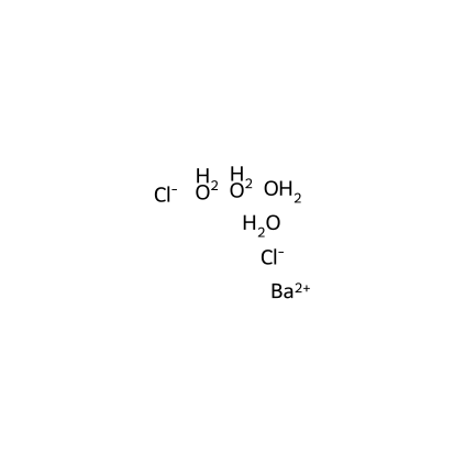 O.O.O.O.[Ba+2].[Cl-].[Cl-]